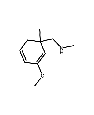 CNCC1(C)C=C(OC)C=CC1